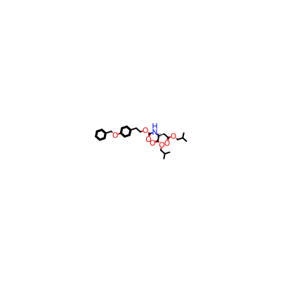 CC(C)COC(=O)C[C@H](NC(=O)OCCc1ccc(OCc2ccccc2)cc1)C(=O)OCC(C)C